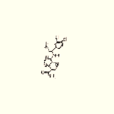 CNCC(Nc1ncnc2c(C(N)=O)ccnc12)c1ccc(Cl)c(Cl)c1